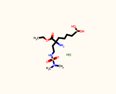 CCOC(=O)C(N)(CCCCB(O)O)CCNS(=O)(=O)N(C)C.Cl